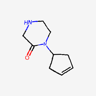 O=C1CNCCN1C1CC=CC1